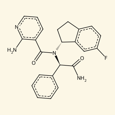 NC(=O)[C@@H](c1ccccc1)N(C(=O)c1cccnc1N)[C@@H]1CCc2ccc(F)cc21